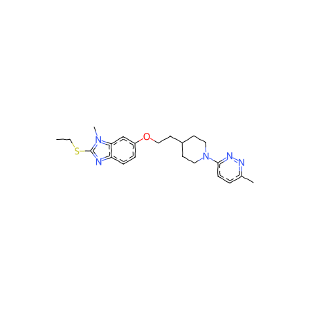 CCSc1nc2ccc(OCCC3CCN(c4ccc(C)nn4)CC3)cc2n1C